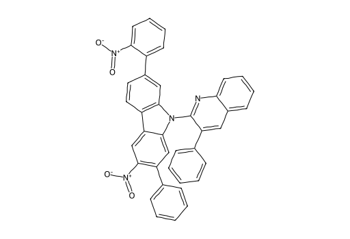 O=[N+]([O-])c1ccccc1-c1ccc2c3cc([N+](=O)[O-])c(-c4ccccc4)cc3n(-c3nc4ccccc4cc3-c3ccccc3)c2c1